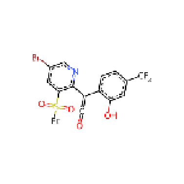 CCS(=O)(=O)c1cc(Br)cnc1C(=C=O)c1ccc(C(F)(F)F)cc1O